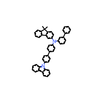 CC1(C)c2ccccc2-c2cc(N(c3ccc(-c4ccc(-n5c6ccccc6c6ccccc65)cc4)cc3)c3cccc(-c4ccccc4)c3)ccc21